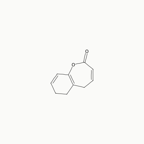 O=C1C=CCC2=C(C=CCC2)O1